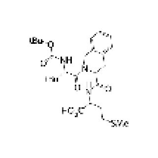 CSCCC(NC(=O)C1Cc2ccccc2CN1C(=O)[C@@H](NC(=O)OC(C)(C)C)C(C)(C)C)C(=O)O